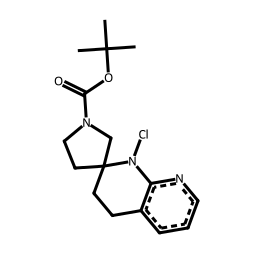 CC(C)(C)OC(=O)N1CCC2(CCc3cccnc3N2Cl)C1